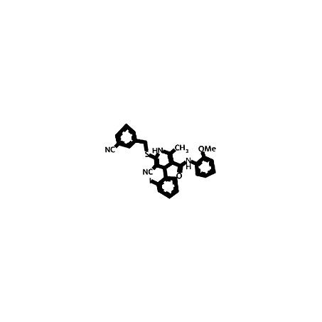 COc1ccccc1NC(=O)C1=C(C)NC(SCc2cccc(C#N)c2)=C(C#N)C1c1ccccc1I